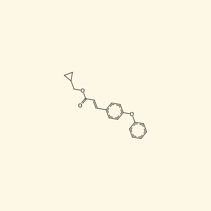 O=C(C=Cc1ccc(Oc2ccccc2)cc1)OCC1CC1